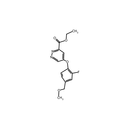 CCOC(=O)c1cc(Oc2ccc(COC)cc2F)cnn1